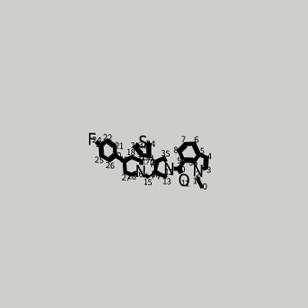 CCn1ccc2cccc(C(=O)N3C[C@@H](CN4CCC(c5ccc(F)cc5)CC4)[C@H](c4ccsc4)C3)c21